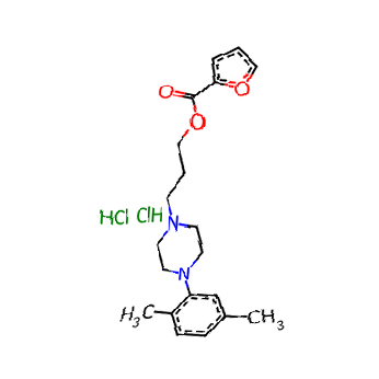 Cc1ccc(C)c(N2CCN(CCCOC(=O)c3ccco3)CC2)c1.Cl.Cl